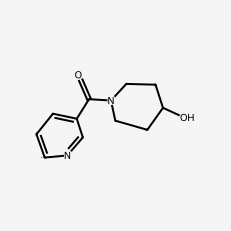 O=C(c1cc[c]nc1)N1CCC(O)CC1